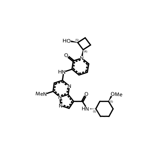 CNc1cc(Nc2cccn([C@@H]3CC[C@@H]3O)c2=O)nc2c(C(=O)N[C@H]3CCC[C@H](OC)C3)cnn12